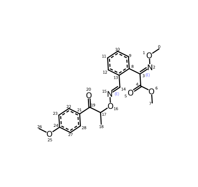 CO/N=C(/C(=O)OC)c1ccccc1/C=N/OC(C)C(=O)c1ccc(OC)cc1